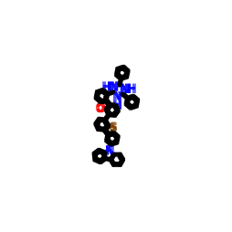 C1=CC2c3ccccc3N(c3ccc4sc5c(-c6cccc7c6oc6cccc(C8NC(c9ccccc9)NC(c9ccccc9)N8)c67)cccc5c4c3)C2C=C1